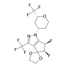 F[C@@H]1c2c(c(C(F)(F)F)nn2[C@H]2CCO[C@@H](C(F)(F)F)C2)C2(OCCO2)[C@@H]1F